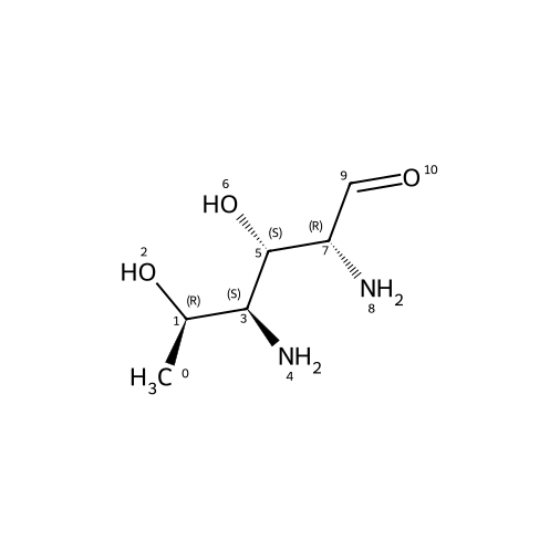 C[C@@H](O)[C@H](N)[C@H](O)[C@@H](N)C=O